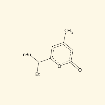 CCCCC(CC)c1cc(C)cc(=O)o1